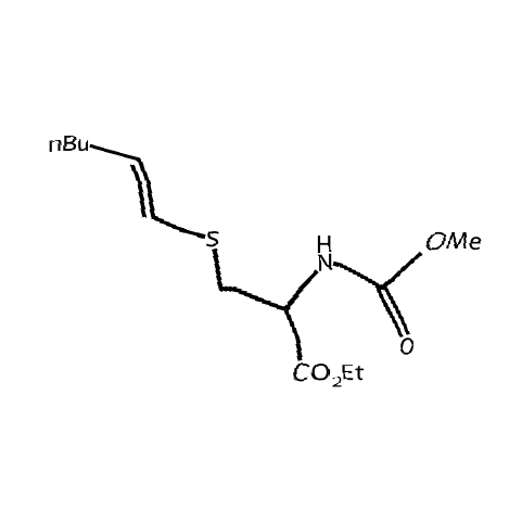 CCCCC=CSCC(NC(=O)OC)C(=O)OCC